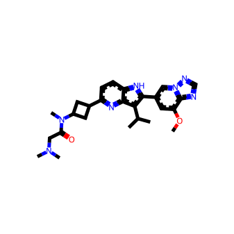 COc1cc(-c2[nH]c3ccc(C4CC(N(C)C(=O)CN(C)C)C4)nc3c2C(C)C)cn2ncnc12